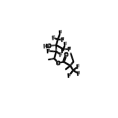 CCC(C)(C(=O)OC(C)C(F)(F)C(O)(C(F)(F)F)C(F)(F)F)C(F)(F)F